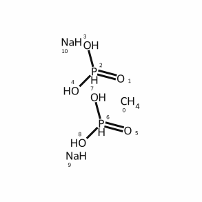 C.O=[PH](O)O.O=[PH](O)O.[NaH].[NaH]